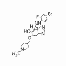 CN1CCC(COC2=CC3=NC=NC(Nc4ccc(Br)cc4F)C3(C)C=C2O)CC1